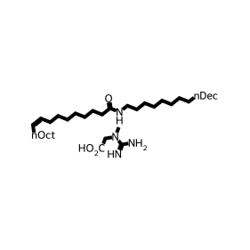 CCCCCCCC/C=C\CCCCCCCC(=O)NCCCCCCCCCCCCCCCCCC.CN(CC(=O)O)C(=N)N